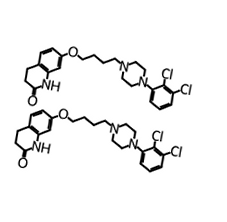 O=C1CCc2ccc(OCCCCN3CCN(c4cccc(Cl)c4Cl)CC3)cc2N1.O=C1CCc2ccc(OCCCCN3CCN(c4cccc(Cl)c4Cl)CC3)cc2N1